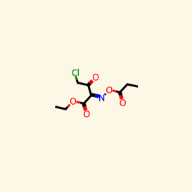 CCOC(=O)/C(=N/OC(=O)CC)C(=O)CCl